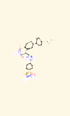 CSc1ccc(-c2ccc3c(c2)C(=CNCc2ccc(S(N)(=O)=O)cc2)C(=O)NC3=O)cc1